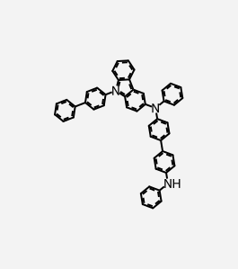 c1ccc(Nc2ccc(-c3ccc(N(c4ccccc4)c4ccc5c(c4)c4ccccc4n5-c4ccc(-c5ccccc5)cc4)cc3)cc2)cc1